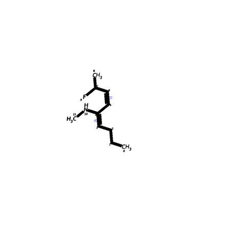 CCC/C=C(\C=C/C(C)F)NC